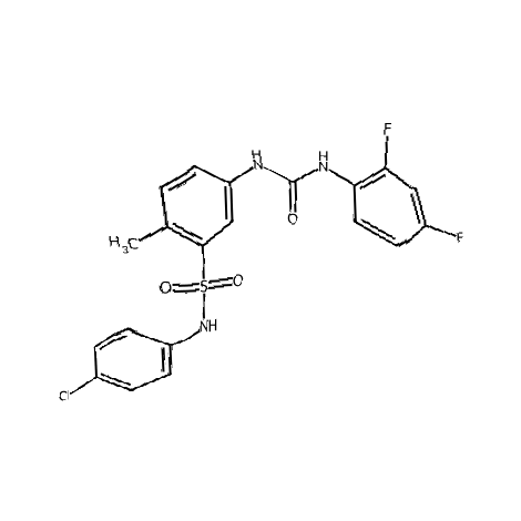 Cc1ccc(NC(=O)Nc2ccc(F)cc2F)cc1S(=O)(=O)Nc1ccc(Cl)cc1